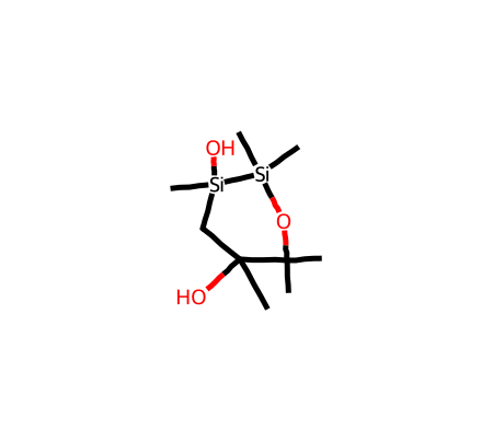 CC1(O)C[Si](C)(O)[Si](C)(C)OC1(C)C